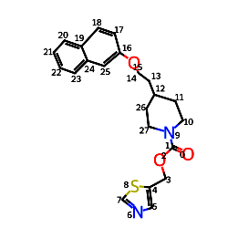 O=C(OCc1cncs1)N1CCC(CCOc2ccc3ccccc3c2)CC1